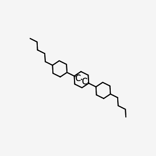 CCCCCC1CCC(C23CCC(C4CCC(CCCC)CC4)(CC2)CC3)CC1